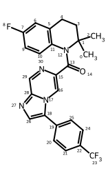 CC1(C)CCc2cc(F)ccc2N1C(=O)c1cn2c(-c3ccc(C(F)(F)F)cc3)cnc2cn1